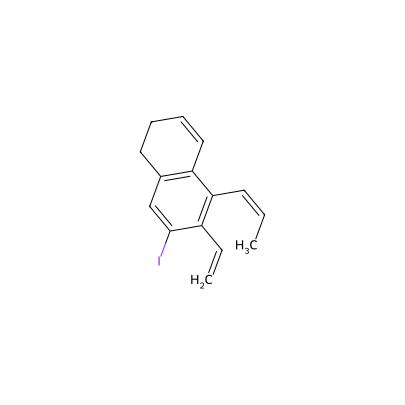 C=Cc1c(I)cc2c(c1/C=C\C)C=CCC2